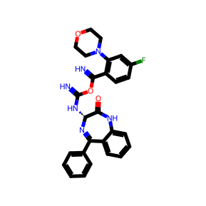 N=C(N[C@H]1N=C(c2ccccc2)c2ccccc2NC1=O)OC(=N)c1ccc(F)cc1N1CCOCC1